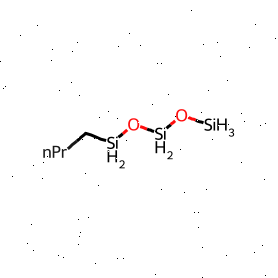 [CH2]CCC[SiH2]O[SiH2]O[SiH3]